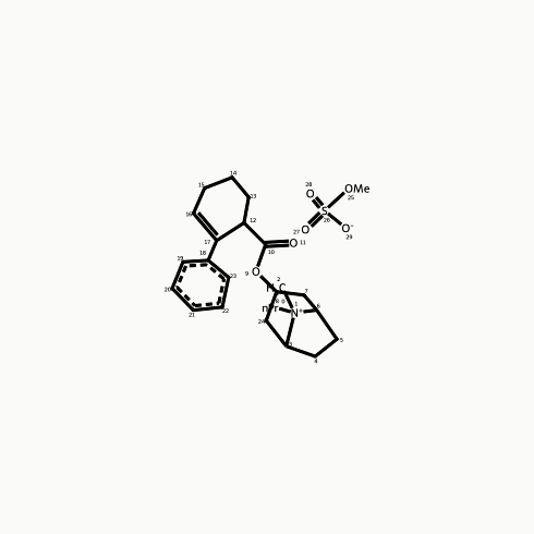 CCC[N+]1(C)C2CCC1CC(OC(=O)C1CCCC=C1c1ccccc1)C2.COS(=O)(=O)[O-]